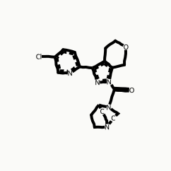 O=C(N1CCN2CCC1CC2)n1nc(-c2ccc(Cl)cn2)c2c1COCC2